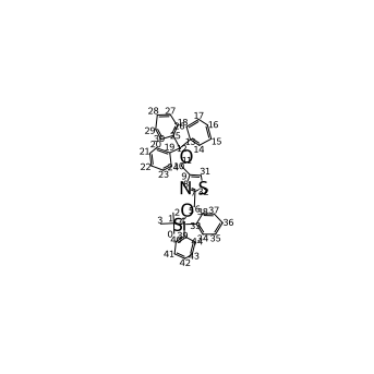 CC(C)(C)[Si](OCc1nc(COC(c2ccccc2)(c2ccccc2)c2ccccc2)cs1)(c1ccccc1)c1ccccc1